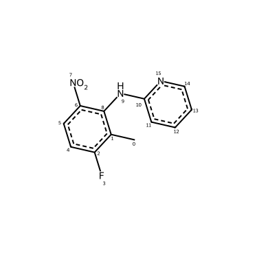 Cc1c(F)ccc([N+](=O)[O-])c1Nc1ccccn1